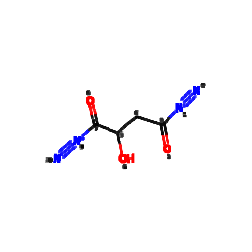 N#[N+]C(=O)CC(O)C(=O)[N+]#N